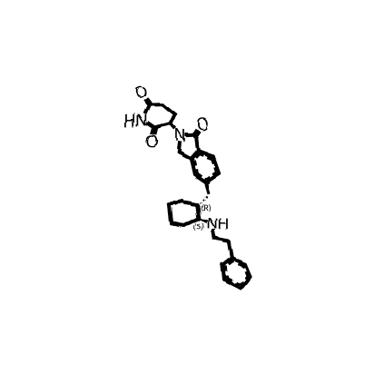 O=C1CCC(N2Cc3cc(C[C@H]4CCCC[C@@H]4NCCc4ccccc4)ccc3C2=O)C(=O)N1